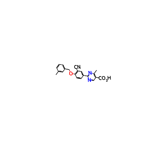 Cc1cccc(COc2ccc(-c3ncc(C(=O)O)c(C)n3)cc2C#N)c1